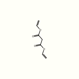 C=COC(=O)CC(=O)OC=C